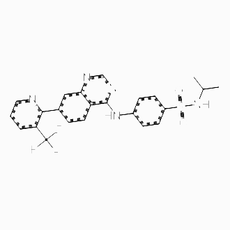 CC(C)NS(=O)(=O)c1ccc(Nc2ncnc3cc(-c4ncccc4C(F)(F)F)ccc23)cc1